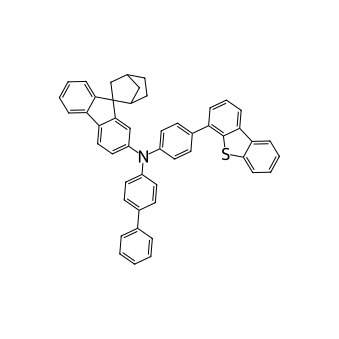 c1ccc(-c2ccc(N(c3ccc(-c4cccc5c4sc4ccccc45)cc3)c3ccc4c(c3)C3(CC5CCC3C5)c3ccccc3-4)cc2)cc1